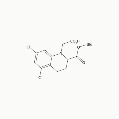 CC(C)(C)OC(=O)C1CCc2c(Cl)cc(Cl)cc2N1CC(=O)O